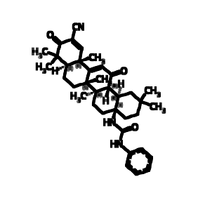 CC1(C)CC[C@]2(NC(=O)Nc3ccccc3)CC[C@]3(C)[C@H](C(=O)C=C4[C@@]5(C)C=C(C#N)C(=O)C(C)(C)[C@@H]5CC[C@]43C)[C@H]2C1